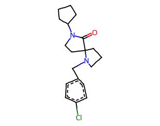 O=C1N(C2CCCC2)CCC12CCCN2Cc1ccc(Cl)cc1